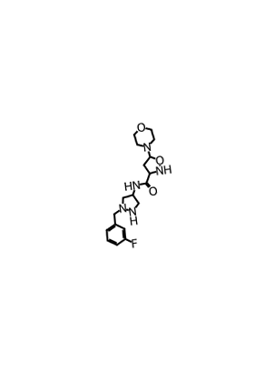 O=C(NC1CNN(Cc2cccc(F)c2)C1)C1CC(N2CCOCC2)ON1